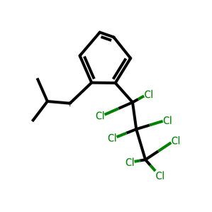 CC(C)[CH]c1ccccc1C(Cl)(Cl)C(Cl)(Cl)C(Cl)(Cl)Cl